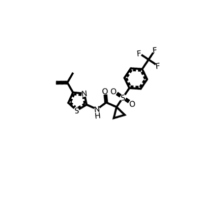 C=C(C)c1csc(NC(=O)C2(S(=O)(=O)c3ccc(C(F)(F)F)cc3)CC2)n1